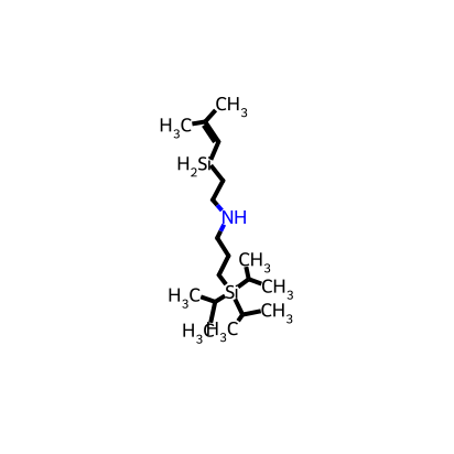 CC(C)=C[SiH2]CCNCCC[Si](C(C)C)(C(C)C)C(C)C